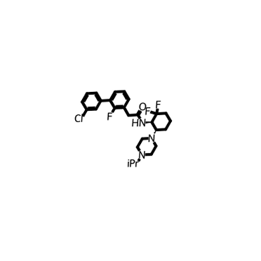 CC(C)N1CCN([C@H]2CCCC(F)(F)[C@@H]2NC(=O)Cc2cccc(-c3cccc(Cl)c3)c2F)CC1